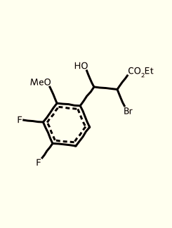 CCOC(=O)C(Br)C(O)c1ccc(F)c(F)c1OC